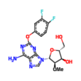 CO[C@@H]1[C@H](O)[C@@H](CO)O[C@H]1n1cnc2c(N)nc(Oc3ccc(F)c(F)c3)nc21